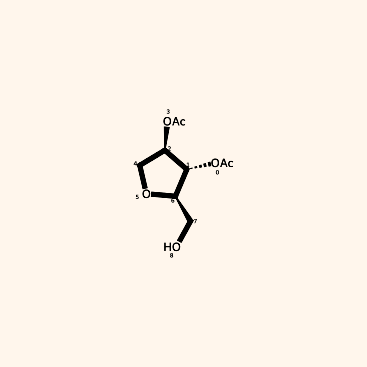 CC(=O)O[C@H]1[C@H](OC(C)=O)[CH]O[C@@H]1CO